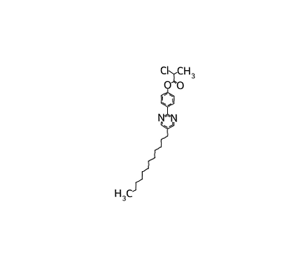 CCCCCCCCCCCCc1cnc(-c2ccc(OC(=O)C(C)Cl)cc2)nc1